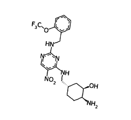 N[C@H]1CC[C@H](CNc2nc(NCc3ccccc3OC(F)(F)F)ncc2[N+](=O)[O-])C[C@H]1O